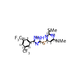 CNc1cc(Sc2nc(-c3cc(C(F)(F)F)cc(C(F)(F)F)c3)n[nH]2)nc(SC)n1